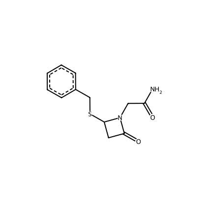 NC(=O)CN1C(=O)CC1SCc1ccccc1